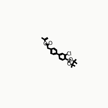 C=C(C)OC(=O)Cc1ccc(-c2ccc(B3OC(C)(C)C(C)(C)O3)c(Cl)c2)cc1